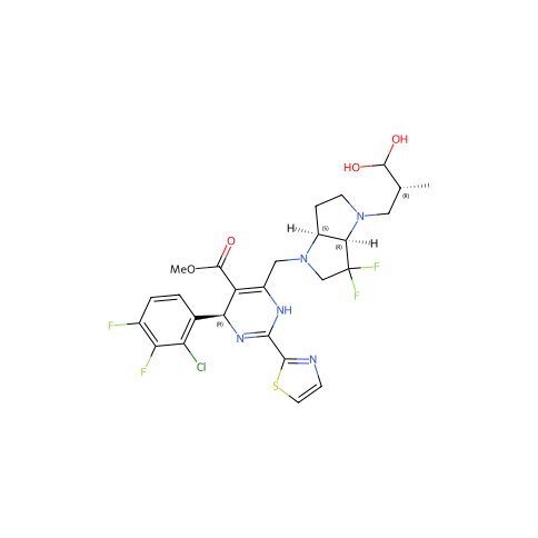 COC(=O)C1=C(CN2CC(F)(F)[C@H]3[C@@H]2CCN3C[C@@H](C)C(O)O)NC(c2nccs2)=N[C@H]1c1ccc(F)c(F)c1Cl